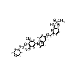 CS(=O)(=O)Nc1nccc(COc2ccc3c(ccn3-c3cc(Cl)c(OCCN4CCOCC4)c(C#N)c3)c2)n1